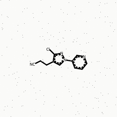 N#CCCc1cn(-c2cccnc2)nc1Cl